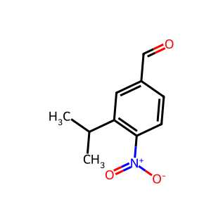 CC(C)c1cc(C=O)ccc1[N+](=O)[O-]